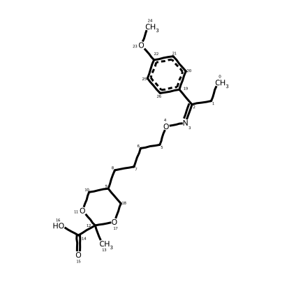 CCC(=NOCCCCC1COC(C)(C(=O)O)OC1)c1ccc(OC)cc1